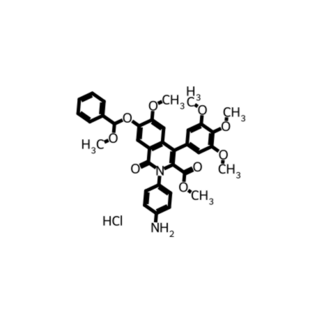 COC(=O)c1c(-c2cc(OC)c(OC)c(OC)c2)c2cc(OC)c(OC(OC)c3ccccc3)cc2c(=O)n1-c1ccc(N)cc1.Cl